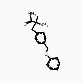 CC(N)(Cc1ccc(COc2ccccc2)cc1)C(N)=O